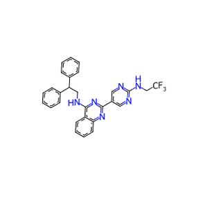 FC(F)(F)CNc1ncc(-c2nc(NCC(c3ccccc3)c3ccccc3)c3ccccc3n2)cn1